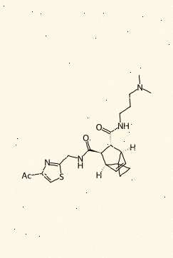 CC(=O)c1csc(CNC(=O)[C@H]2[C@H](C(=O)NCCCN(C)C)[C@H]3C=C[C@@H]2C32CC2)n1